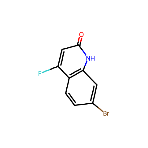 O=c1cc(F)c2ccc(Br)cc2[nH]1